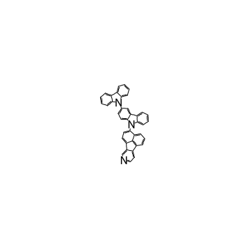 c1cc2c3c(ccc(-n4c5ccccc5c5cc(-n6c7ccccc7c7ccccc76)ccc54)c3c1)-c1cnccc1-2